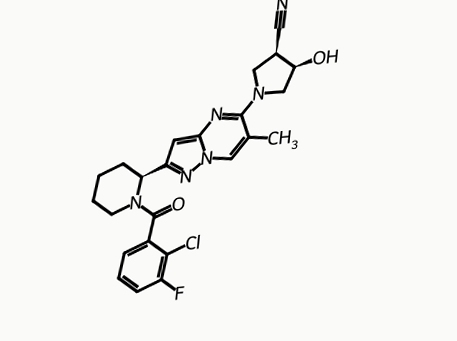 Cc1cn2nc([C@@H]3CCCCN3C(=O)c3cccc(F)c3Cl)cc2nc1N1C[C@@H](C#N)[C@@H](O)C1